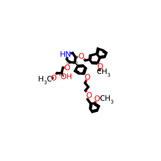 COC[C@H](O)CO[C@@H]1CNC[C@H](OCc2cc(OC)c3ccccc3c2)[C@H]1c1ccc(OCCCOCc2ccccc2OC)cc1